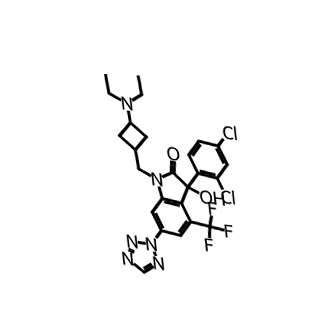 CCN(CC)C1CC(CN2C(=O)C(O)(c3ccc(Cl)cc3Cl)c3c2cc(-n2ncnn2)cc3C(F)(F)F)C1